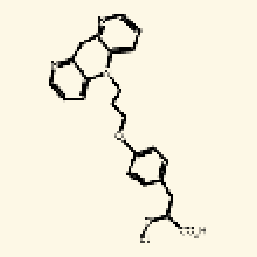 CCOC(Cc1ccc(OCCCN2c3cccnc3Cc3ncccc32)cc1)C(=O)O